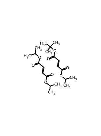 CC(C)OC(=O)/C=C/C(=O)OC(C)(C)C.CC(C)OC(=O)/C=C/C(=O)OC(C)C